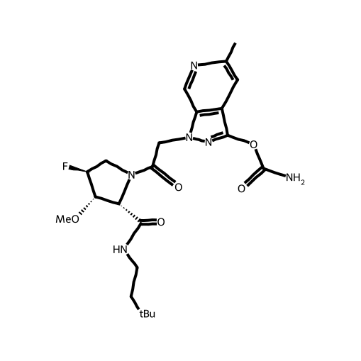 CO[C@H]1[C@@H](C(=O)NCCC(C)(C)C)N(C(=O)Cn2nc(OC(N)=O)c3cc(C)ncc32)C[C@@H]1F